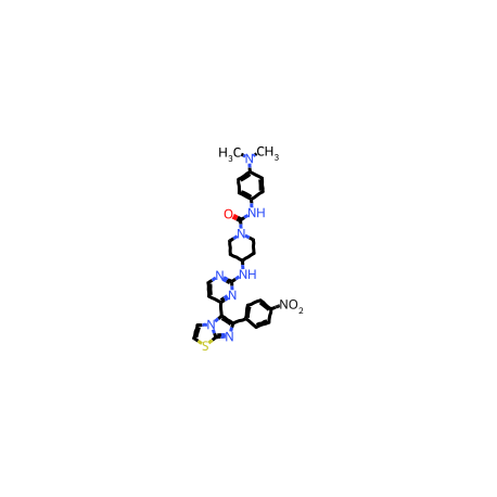 CN(C)c1ccc(NC(=O)N2CCC(Nc3nccc(-c4c(-c5ccc([N+](=O)[O-])cc5)nc5sccn45)n3)CC2)cc1